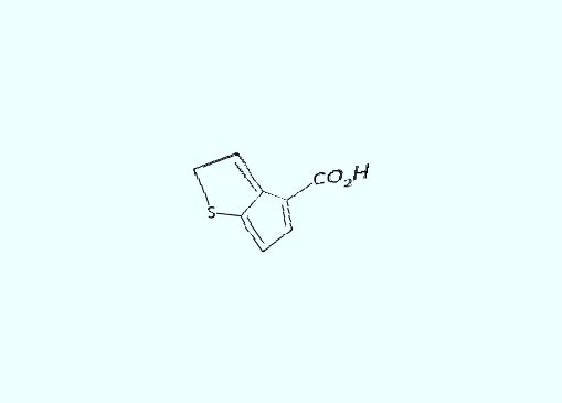 O=C(O)C1=CC=C2SCC=C21